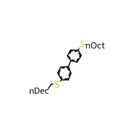 CCCCCCCCCCCSc1ccc(-c2ccc(SCCCCCCCC)cc2)cc1